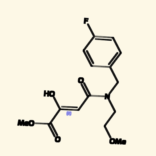 COCCN(Cc1ccc(F)cc1)C(=O)/C=C(\O)C(=O)OC